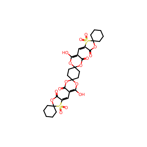 O=C1OC2(CCC3(CC2)OC(=O)C(/C=C2\C(=O)OC4(CCCCC4)S2(=O)=O)=C(O)O3)OC(O)=C1/C=C1\C(=O)OC2(CCCCC2)S1(=O)=O